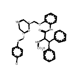 O=C(O)NC(C(=O)Nc1ccccc1OC[C@@H]1CNC[C@@H](CSc2ccc(Cl)cc2)O1)C(c1ccccc1)c1ccccc1